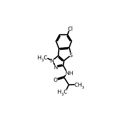 CC(C)C(=O)Nc1nn(C)c2c1sc1cc(Cl)ccc12